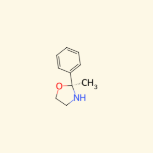 C[C@]1(c2ccccc2)NCCO1